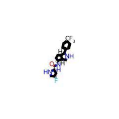 O=C(N[C@H]1CC[C@@H]2C(c3ccc(C(F)(F)F)cc3)NC[C@H]12)[C@@H]1C[C@@H](F)CN1